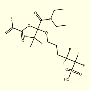 C=C(F)C(=O)OC(OCCCC(F)(F)C(F)(F)S(=O)(=O)O)(C(=O)N(CC)CC)C(F)(F)F